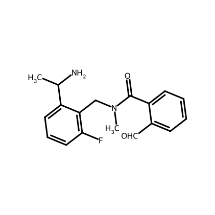 CC(N)c1cccc(F)c1CN(C)C(=O)c1ccccc1C=O